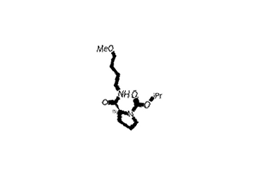 COCCCCNC(=O)[C@@H]1CCCN1C(=O)OC(C)C